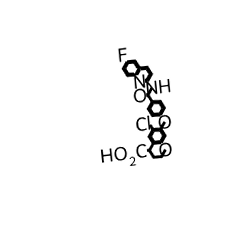 O=C(Nc1ccc2cc(F)ccc2n1)c1ccc(Oc2cc3c(cc2Cl)C(C(=O)O)CCO3)cc1